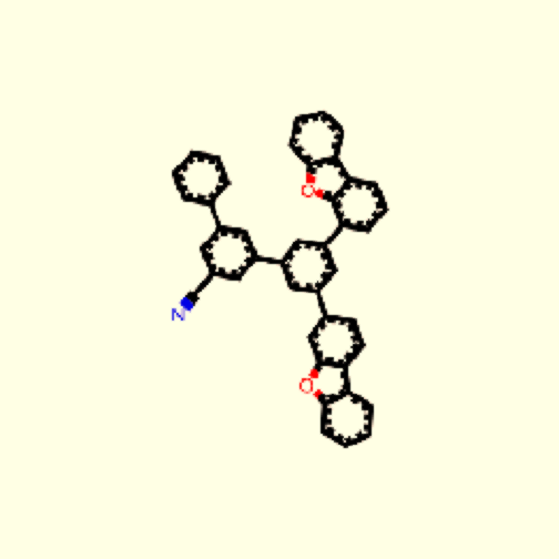 N#Cc1cc(-c2ccccc2)cc(-c2cc(-c3ccc4c(c3)oc3ccccc34)cc(-c3cccc4c3oc3ccccc34)c2)c1